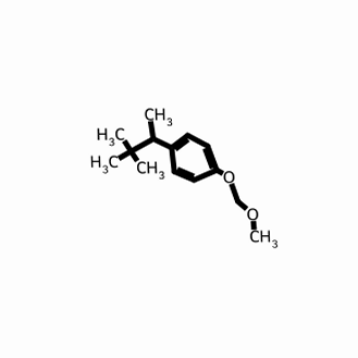 COCOc1ccc(C(C)C(C)(C)C)cc1